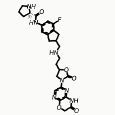 O=C1COc2ncc(N3CC(CCNCC4Cc5cc(NC(=O)[C@@H]6CCCN6)cc(F)c5C4)OC3=O)nc2N1